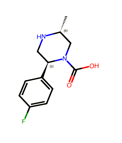 C[C@@H]1CN(C(=O)O)[C@@H](c2ccc(F)cc2)CN1